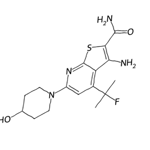 CC(C)(F)c1cc(N2CCC(O)CC2)nc2sc(C(N)=O)c(N)c12